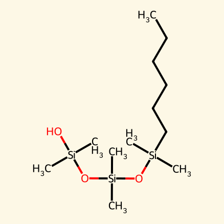 CCCCCC[Si](C)(C)O[Si](C)(C)O[Si](C)(C)O